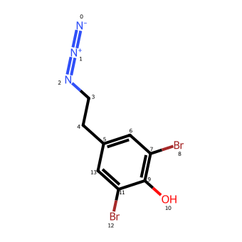 [N-]=[N+]=NCCc1cc(Br)c(O)c(Br)c1